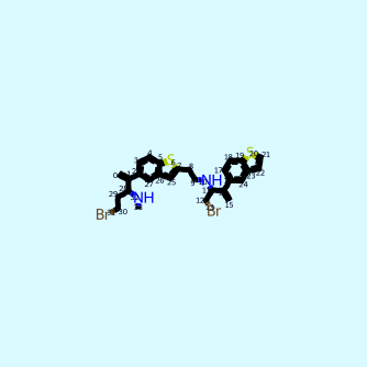 C=C(c1ccc2sc(CCNC(CBr)C(=C)c3ccc4sccc4c3)cc2c1)C(CCBr)NC